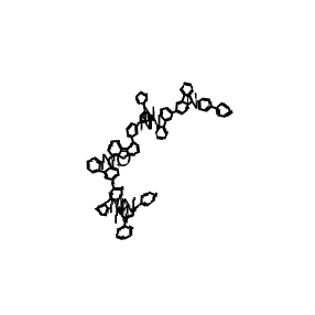 c1ccc(-c2ccc(-n3c4ccccc4c4cc(-c5ccc6c(c5)c5ccccc5n6-c5nc(-c6ccccc6)cc(-c6cccc(-c7cccc8oc9c(-n%10c%11ccccc%11c%11cc(-c%12ccc%13c(c%12)c%12ccccc%12n%13-c%12nc(-c%13ccccc%13)cc(-c%13ccccc%13)n%12)ccc%11%10)cccc9c78)c6)n5)ccc43)cc2)cc1